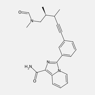 CC(C#Cc1cccc(-c2nc(C(N)=O)c3ccccn23)c1)[C@H](C)CN(C)C=O